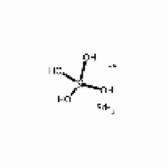 O[Si](O)(O)O.[La].[SrH2]